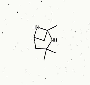 CC1(C)CC2CC(C)(N2)N1